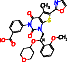 COc1ccccc1[C@H](Cn1c(=O)n(-c2cccc(C(=O)O)c2)c(=O)c2c(C)c(-c3ncco3)sc21)OC1CCOCC1